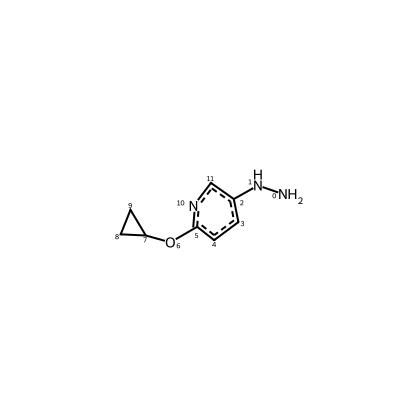 NNc1ccc(OC2CC2)nc1